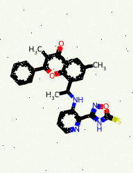 Cc1cc(C(C)Nc2cccnc2-c2noc(=S)[nH]2)c2oc(-c3ccccc3)c(C)c(=O)c2c1